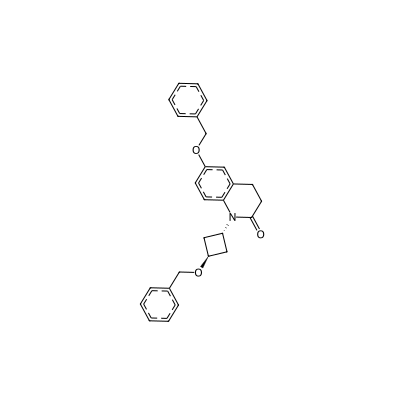 O=C1CCc2cc(OCc3ccccc3)ccc2N1[C@H]1C[C@H](OCc2ccccc2)C1